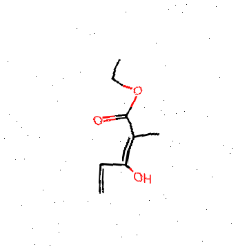 C=CC(O)=C(C)C(=O)OCC